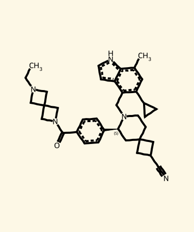 CCN1CC2(C1)CN(C(=O)c1ccc([C@@H]3CC4(CCN3Cc3c(C5CC5)cc(C)c5[nH]ccc35)CC(C#N)C4)cc1)C2